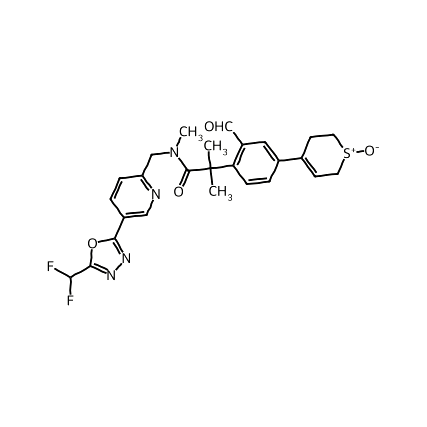 CN(Cc1ccc(-c2nnc(C(F)F)o2)cn1)C(=O)C(C)(C)c1ccc(C2=CC[S+]([O-])CC2)cc1C=O